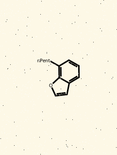 [CH2]CCCCc1cccc2ccoc12